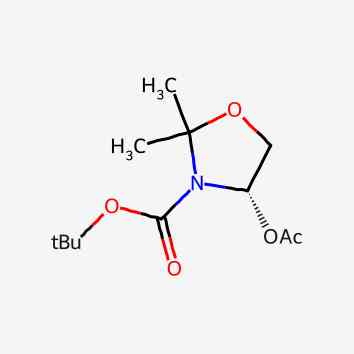 CC(=O)O[C@H]1COC(C)(C)N1C(=O)OC(C)(C)C